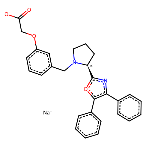 O=C([O-])COc1cccc(CN2CCC[C@H]2c2nc(-c3ccccc3)c(-c3ccccc3)o2)c1.[Na+]